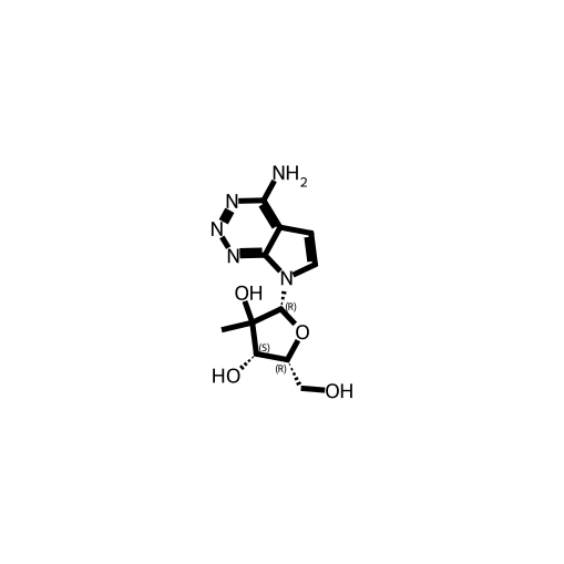 CC1(O)[C@@H](O)[C@@H](CO)O[C@H]1n1ccc2c(N)nnnc21